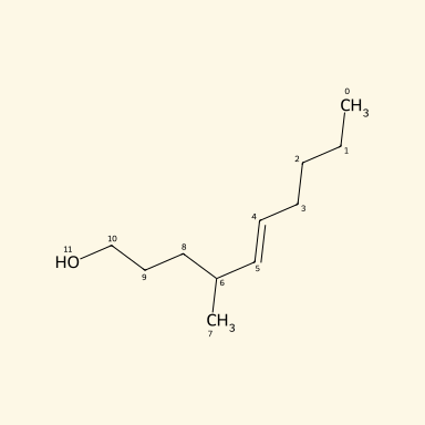 CCCCC=CC(C)CCCO